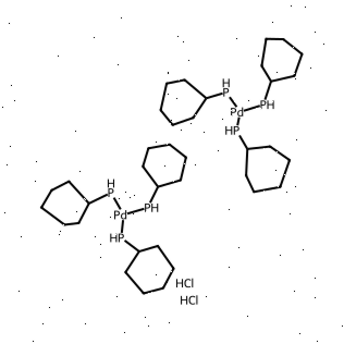 C1CCC([PH][Pd]([PH]C2CCCCC2)[PH]C2CCCCC2)CC1.C1CCC([PH][Pd]([PH]C2CCCCC2)[PH]C2CCCCC2)CC1.Cl.Cl